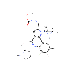 Cc1cc2c(nc(OC(C)[C@@H]3CCCN3C)c3cc(CN4CCOC4=O)n([C@H]4[C@@H]5C[C@H]4N(C(=O)O)C5)c32)c(F)c1Br